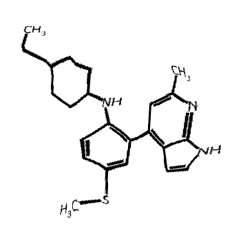 CCC1CCC(Nc2ccc(SC)cc2-c2cc(C)nc3[nH]ccc23)CC1